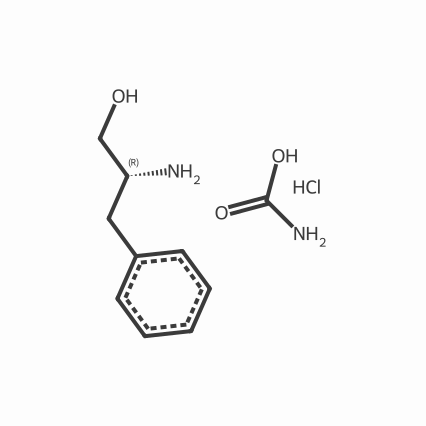 Cl.NC(=O)O.N[C@@H](CO)Cc1ccccc1